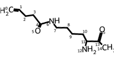 C=CCCC(=O)NCCCCC(N)C(C)=O